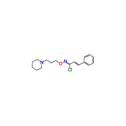 ClC(C=Cc1ccccc1)=NOCCCN1CCCCC1